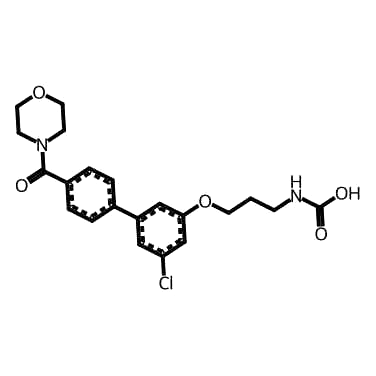 O=C(O)NCCCOc1cc(Cl)cc(-c2ccc(C(=O)N3CCOCC3)cc2)c1